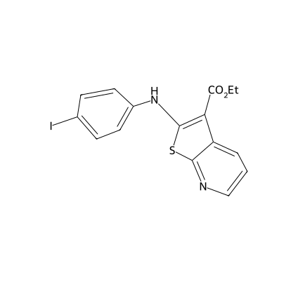 CCOC(=O)c1c(Nc2ccc(I)cc2)sc2ncccc12